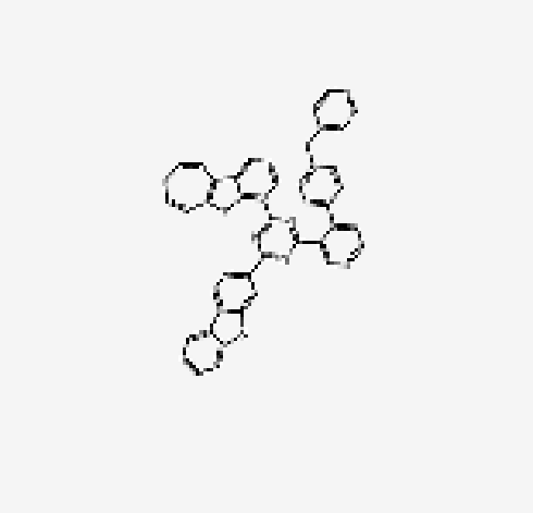 C1=Cc2sc3c(-c4nc(-c5ccc6c(c5)sc5ccccc56)nc(-c5ccccc5-c5ccc(Cc6ccccc6)cc5)n4)cccc3c2C=CC1